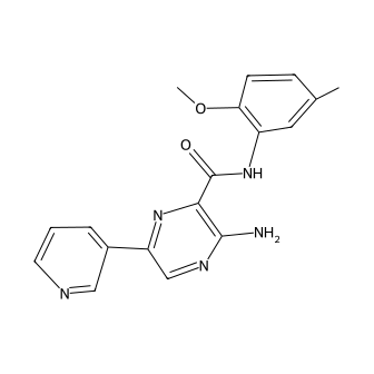 COc1ccc(C)cc1NC(=O)c1nc(-c2cccnc2)cnc1N